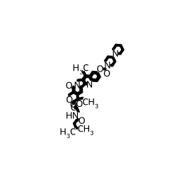 CCc1c2c(nc3ccc(OC(=O)N4CCC(N5CCCCC5)CC4)cc13)-c1cc3c(c(=O)n1C2)COC(=O)C3(CC)OC(=O)CNC(=O)CC(C)C